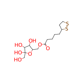 O=C(CCCCC1CCSS1)OCC1OC(O)(CO)C(O)C1O